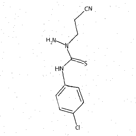 N#CCCN(N)C(=S)Nc1ccc(Cl)cc1